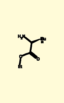 CCOC(=O)C(N)[C@H](C)CC